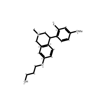 COc1ccc(C2CN(C)Cc3cc(OCCCO)ccc32)c(F)c1